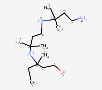 CCC(C)(CCO)NC(C)(C)CCNC(C)(C)CCN